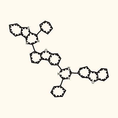 c1ccc(-c2nc(-c3ccc4c(c3)oc3ccccc34)nc(-c3ccc4oc5c(-c6nc(-c7ccccc7)c7sc8ccccc8c7n6)cccc5c4c3)n2)cc1